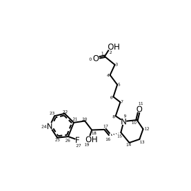 O=C(O)CCCCCCN1C(=O)CCC[C@@H]1/C=C/C(O)Cc1ccncc1F